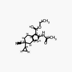 CCOC(=O)c1c(NC(C)=O)sc2c1CCC(C#N)(C1CC1)C2